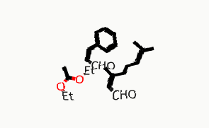 CC(C)=CCCC(C)=CC=O.CCOC(C)OCC.O=C/C=C\c1ccccc1